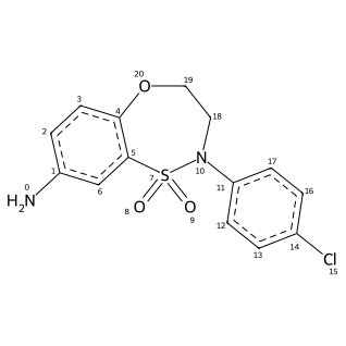 Nc1ccc2c(c1)S(=O)(=O)N(c1ccc(Cl)cc1)CCO2